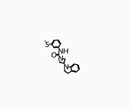 CSc1cccc(NC(=O)N2CC(N3CCc4ccccc43)C2)c1